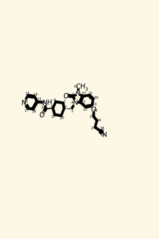 Cn1c(=O)n(C[C@H]2CC[C@H](C(=O)Nc3ccncc3)CC2)c2cc(OCCCC#N)ccc21